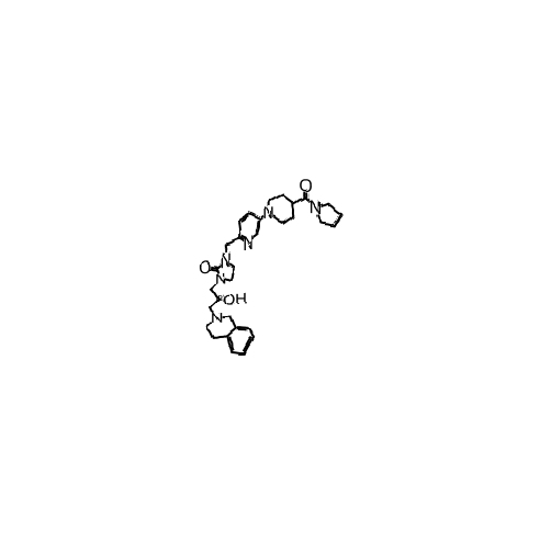 O=C(C1CCN(c2ccc(CN3CCN(C[C@H](O)CN4CCc5ccccc5C4)C3=O)nc2)CC1)N1CCCC1